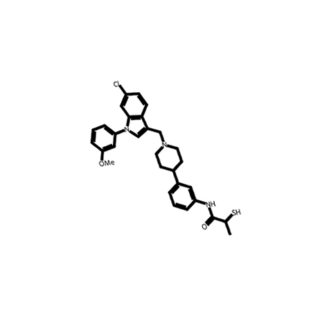 COc1cccc(-n2cc(CN3CCC(c4cccc(NC(=O)C(C)S)c4)CC3)c3ccc(Cl)cc32)c1